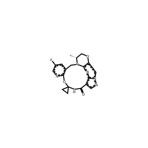 C[C@@H]1COc2cn3ncc4c3nc2N1Cc1cc(F)cnc1OC1(CC1)NC4=O